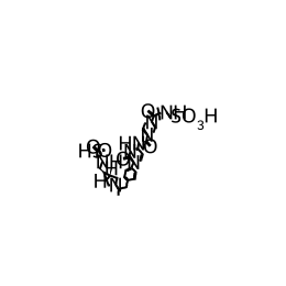 CC(Cc1ccc(-n2ccc(NC(=O)N3CCN(C(=O)C(C)(C)NCS(=O)(=O)O)CC3)nc2=O)cc1)N1C[C@@H]2[C@@H](CNC[SH](=O)=O)[C@@H]2C1